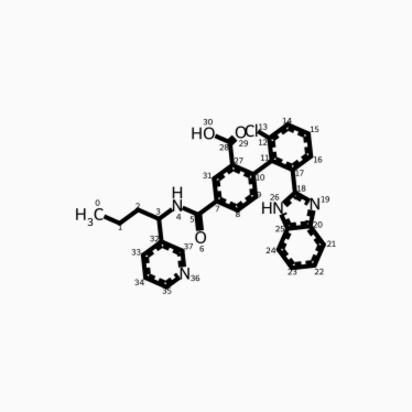 CCCC(NC(=O)c1ccc(-c2c(Cl)cccc2-c2nc3ccccc3[nH]2)c(C(=O)O)c1)c1cccnc1